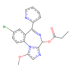 CCC(=O)OC1N=C(c2ccccn2)c2cc(Br)ccc2-n2c(OC)cnc21